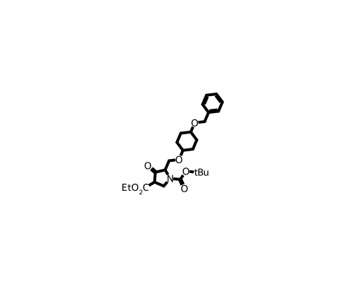 CCOC(=O)C1CN(C(=O)OC(C)(C)C)C(COC2CCC(OCc3ccccc3)CC2)C1=O